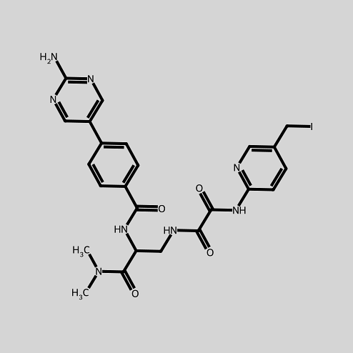 CN(C)C(=O)C(CNC(=O)C(=O)Nc1ccc(CI)cn1)NC(=O)c1ccc(-c2cnc(N)nc2)cc1